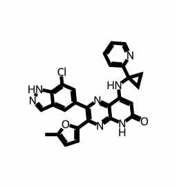 Cc1ccc(-c2nc3[nH]c(=O)cc(NC4(c5ccccn5)CC4)c3nc2-c2cc(Cl)c3[nH]ncc3c2)o1